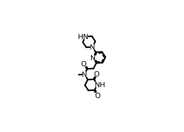 CN(C(=O)Cc1cccc(N2CCNCC2)n1)C1CCC(=O)NC1=O